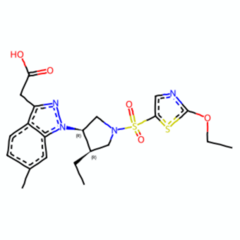 CCOc1ncc(S(=O)(=O)N2C[C@@H](CC)[C@@H](n3nc(CC(=O)O)c4ccc(C)cc43)C2)s1